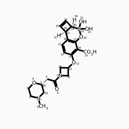 CN1CCO[C@H](CC(=O)N2CC(Oc3ccc4c(c3C(=O)O)O[B-](O)(O)[C@@H]3C=C[C@H]43)C2)C1